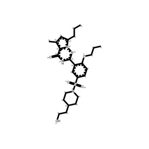 CCCOc1ccc(S(=O)(=O)N2CCC(CCO)CC2)cc1-c1nn2c(CCC)cc(C)c2c(=O)[nH]1